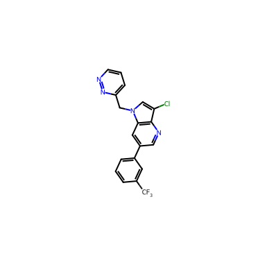 FC(F)(F)c1cccc(-c2cnc3c(Cl)cn(Cc4cccnn4)c3c2)c1